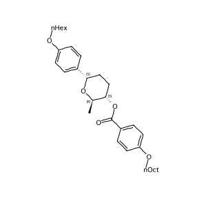 CCCCCCCCOc1ccc(C(=O)O[C@H]2CC[C@@H](c3ccc(OCCCCCC)cc3)O[C@@H]2C)cc1